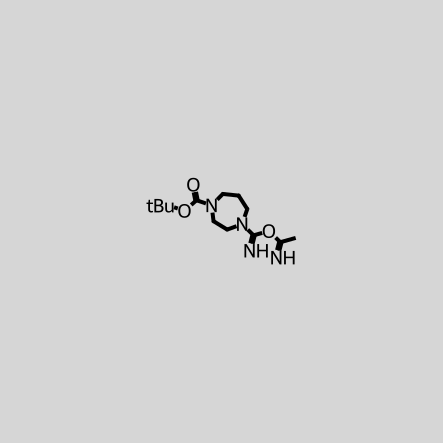 CC(=N)OC(=N)N1CCCN(C(=O)OC(C)(C)C)CC1